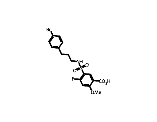 COc1cc(F)c(S(=O)(=O)NCCCc2ccc(Br)cc2)cc1C(=O)O